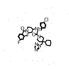 O=C(c1ccc(F)cc1F)N1CCC(N[C@H](Cc2ccc(Cl)cc2)C(=O)N2CCC(Cn3cncn3)(C3CCCCC3)CC2)CC1